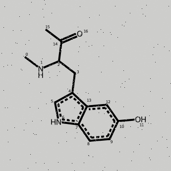 CNC(Cc1c[nH]c2ccc(O)cc12)C(C)=O